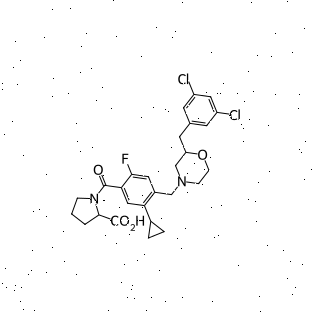 O=C(O)C1CCCN1C(=O)c1cc(C2CC2)c(CN2CCOC(Cc3cc(Cl)cc(Cl)c3)C2)cc1F